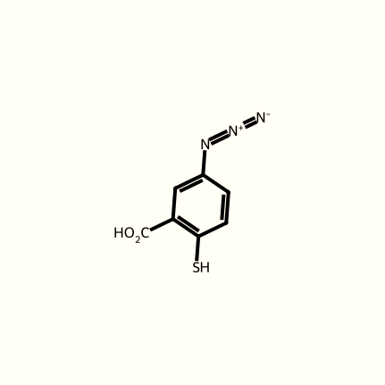 [N-]=[N+]=Nc1ccc(S)c(C(=O)O)c1